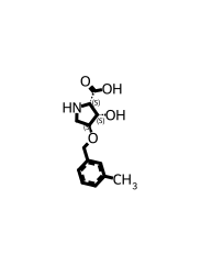 Cc1cccc(CO[C@H]2CN[C@H](C(=O)O)[C@@H]2O)c1